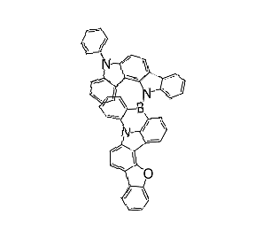 c1ccc(-n2c3ccccc3c3c4c(ccc32)c2ccccc2n4B2c3ccccc3-n3c4ccc5c6ccccc6oc5c4c4cccc2c43)cc1